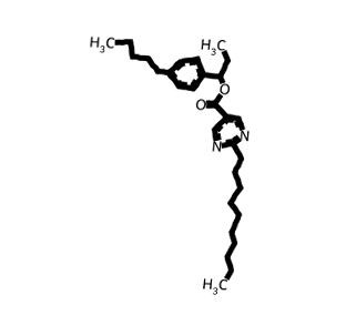 CCCCCCCCCCc1ncc(C(=O)OC(CC)c2ccc(CCCCC)cc2)cn1